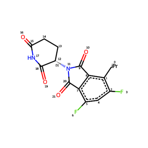 CC(C)c1c(F)cc(F)c2c1C(=O)N([C@H]1CCC(=O)NC1=O)C2=O